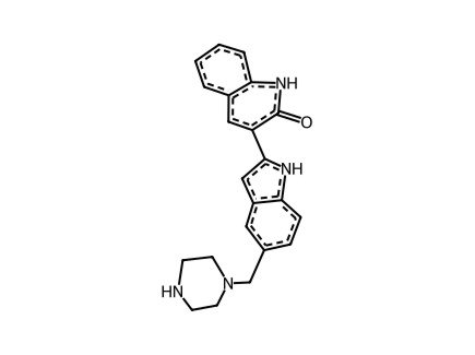 O=c1[nH]c2ccccc2cc1-c1cc2cc(CN3CCNCC3)ccc2[nH]1